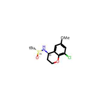 COc1cc(Cl)c2c(c1)[C@H](N[S@+]([O-])C(C)(C)C)CCO2